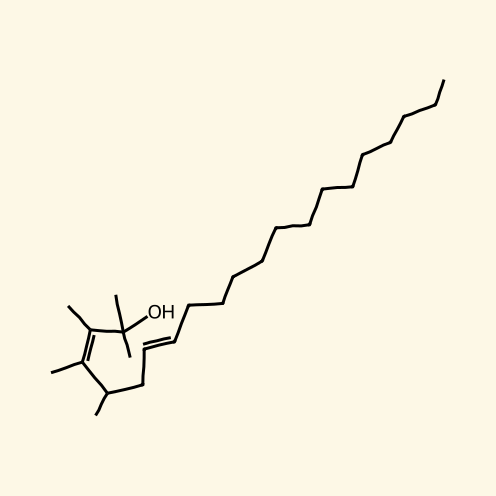 CCCCCCCCCCCCCC=CCC(C)C(C)=C(C)C(C)(C)O